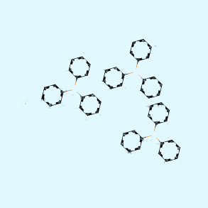 [Br-].[Br-].[Cu+2].c1ccc(P(c2ccccc2)c2ccccc2)cc1.c1ccc(P(c2ccccc2)c2ccccc2)cc1.c1ccc(P(c2ccccc2)c2ccccc2)cc1